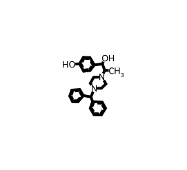 CC(C(O)c1ccc(O)cc1)N1CCN(C(c2ccccc2)c2ccccc2)CC1